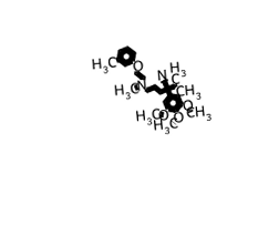 COc1cc(C(C#N)(CCCN(C)CCOc2cccc(C)c2)C(C)C)cc(OC)c1OC